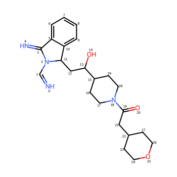 N=CN1C(=N)c2ccccc2C1CC(O)C1CCN(C(=O)CC2CCOCC2)CC1